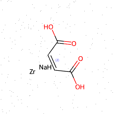 O=C(O)/C=C\C(=O)O.[NaH].[Zr]